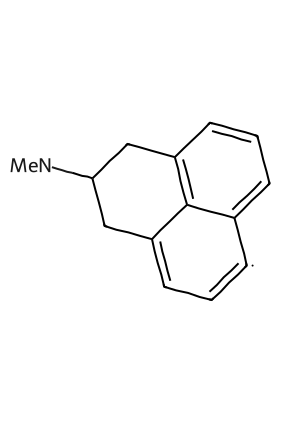 CNC1Cc2cc[c]c3cccc(c23)C1